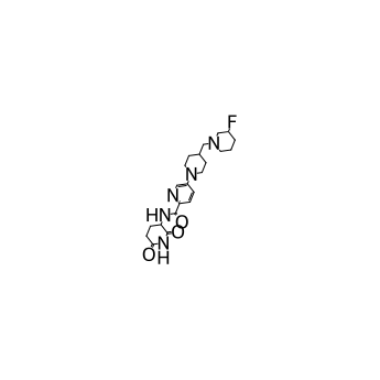 O=C1CCC(NC(=O)c2ccc(N3CCC(CN4CCCC(F)C4)CC3)cn2)C(=O)N1